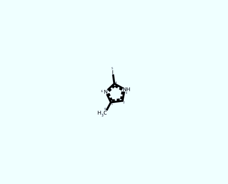 Cc1c[nH]c(I)n1